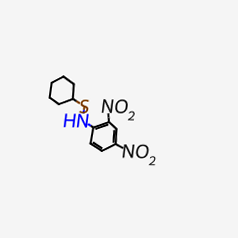 O=[N+]([O-])c1ccc(NSC2CCCCC2)c([N+](=O)[O-])c1